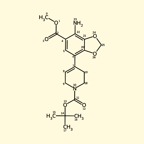 COC(=O)c1cc(C2=CCN(C(=O)OC(C)(C)C)CC2)c2c(c1N)OCO2